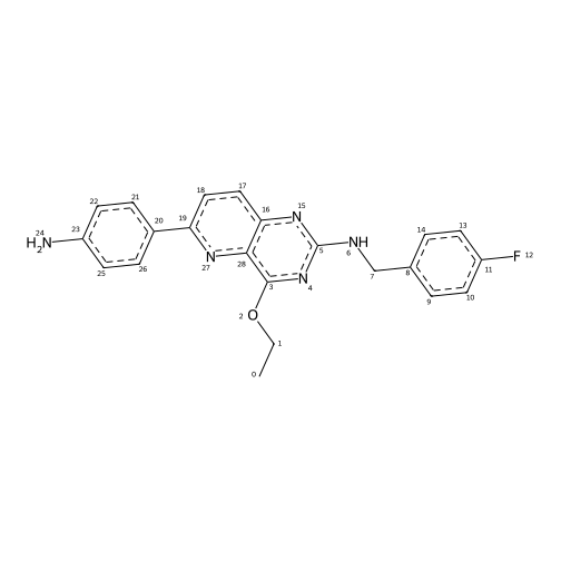 CCOc1nc(NCc2ccc(F)cc2)nc2ccc(-c3ccc(N)cc3)nc12